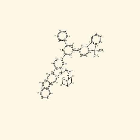 CC1(C)c2ccccc2-c2cc(-c3nc(-c4ccccc4)nc(-c4ccc5c(c4)C4(c6cc7c(cc6-5)sc5ccccc57)C5CC6CC(C5)CC4C6)n3)ccc21